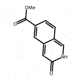 COC(=O)c1ccc2c[nH]c(=O)cc2c1